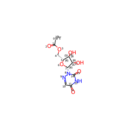 CC(C)C(=O)OC[C@H]1O[C@@H](n2ncc(=O)[nH]c2=O)[C@H](O)[C@@H]1O